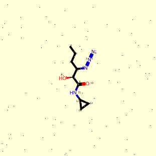 CCCC(N=[N+]=[N-])[C@H](O)C(=O)NC1CC1